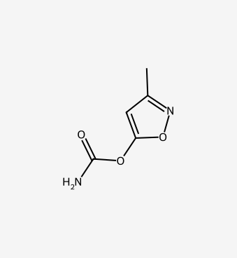 Cc1cc(OC(N)=O)on1